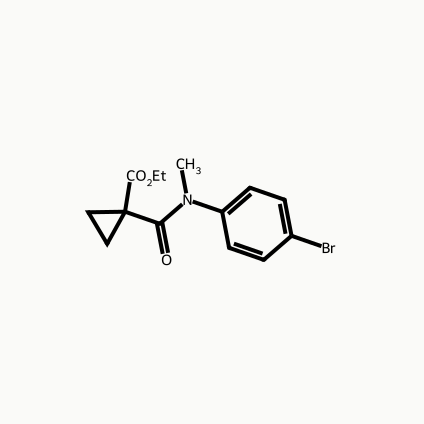 CCOC(=O)C1(C(=O)N(C)c2ccc(Br)cc2)CC1